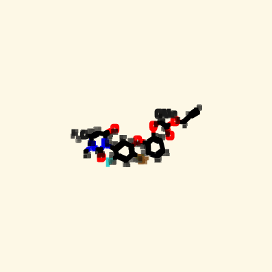 C#CCOC(=O)[C@@H](OC)Oc1ccccc1Oc1cc(-n2c(=O)cc(C(F)(F)F)n(C)c2=O)c(F)cc1Br